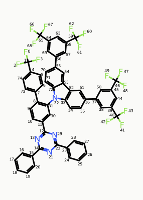 FC(F)(F)c1ccc(-c2ccc(-c3nc(-c4ccccc4)nc(-c4ccccc4)n3)cc2-n2c3ccc(-c4cc(C(F)(F)F)cc(C(F)(F)F)c4)cc3c3cc(-c4cc(C(F)(F)F)cc(C(F)(F)F)c4)ccc32)cc1